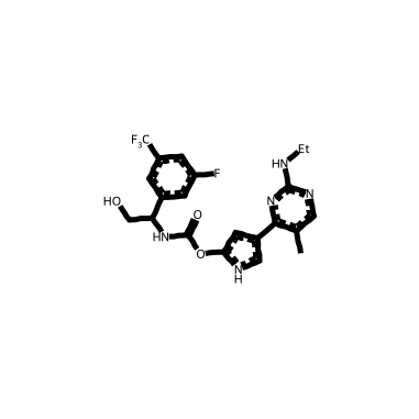 CCNc1ncc(C)c(-c2c[nH]c(OC(=O)NC(CO)c3cc(F)cc(C(F)(F)F)c3)c2)n1